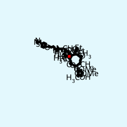 CCOC(C[C@H]1C[C@@H](C)C(=O)/C=C/C(C)=C/[C@H](COC2OC(C)C(O)C(OC)C2OC)[C@@H](I)OC(=O)C[C@@H](O)[C@H](C)[C@H]1OC1OC(C)C(O)C(N(C)CCc2cn(CCCOc3ccc(-c4cnns4)cc3)nn2)C1O)OCC